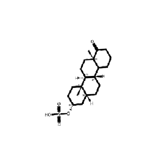 C[C@]12CC[C@@H](OS(=O)(=O)O)C[C@H]1CC[C@H]1C3CCCC(=O)[C@@]3(C)CC[C@@H]12